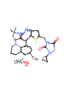 CC1(C)C[C@H](N2CCCc3cc(C#N)cc(-c4ccnc5cc(CN6C(=O)CN(C7CC7)C6=O)sc45)c32)CN1.O=CO